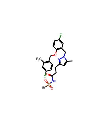 CCS(=O)(=O)NC(=O)CCc1cc(C)n(Cc2cc(Cl)ccc2OCc2ccc(Cl)cc2C(F)(F)F)n1